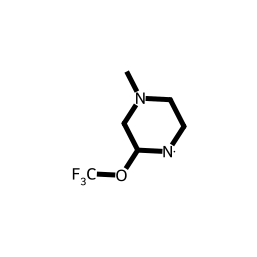 CN1CC[N]C(OC(F)(F)F)C1